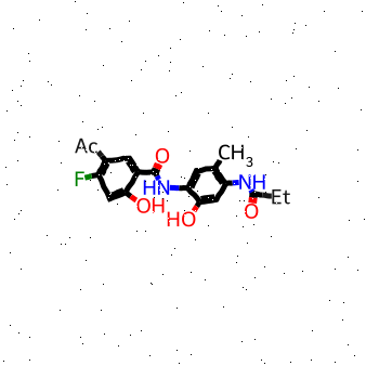 CCC(=O)Nc1cc(O)c(NC(=O)c2cc(C(C)=O)c(F)cc2O)cc1C